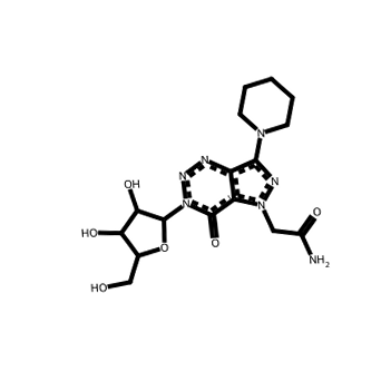 NC(=O)Cn1nc(N2CCCCC2)c2nnn(C3OC(CO)C(O)C3O)c(=O)c21